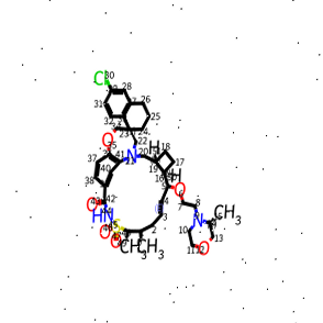 CC1C/C=C/C(OCCN2CCOC[C@@H]2C)[C@@H]2CC[C@H]2CN2C[C@@]3(CCCc4cc(Cl)ccc43)COc3ccc(cc32)C(=O)NS(=O)(=O)C1C